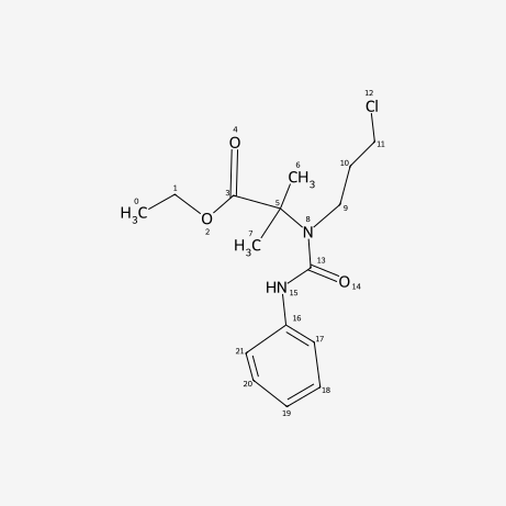 CCOC(=O)C(C)(C)N(CCCCl)C(=O)Nc1ccccc1